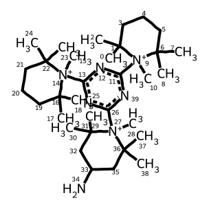 CC1(C)CCCC(C)(C)[N+]1(C)c1nc([N+]2(C)C(C)(C)CCCC2(C)C)nc([N+]2(C)C(C)(C)CC(N)CC2(C)C)n1